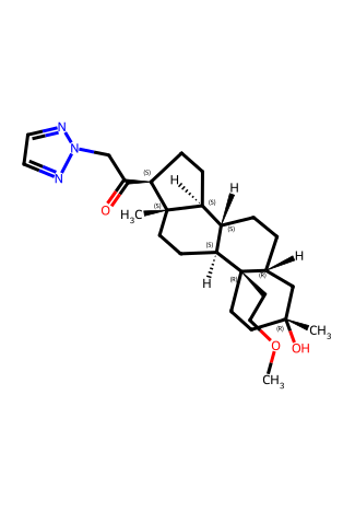 COCC[C@]12CC[C@@](C)(O)C[C@H]1CC[C@H]1[C@@H]3CC[C@H](C(=O)Cn4nccn4)[C@@]3(C)CC[C@@H]12